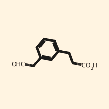 O=CCc1cccc(CCC(=O)O)c1